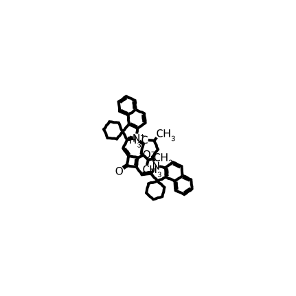 CC(C)CCN1/C(=C\C2=C([O-])C(=C\C3=[N+](CCC(C)C)c4ccc5ccccc5c4C34CCCCC4)/C2=O)C2(CCCCC2)c2c1ccc1ccccc21